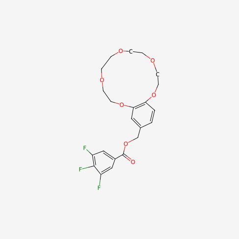 O=C(OCc1ccc2c(c1)OCCOCCOCCOCCO2)c1cc(F)c(F)c(F)c1